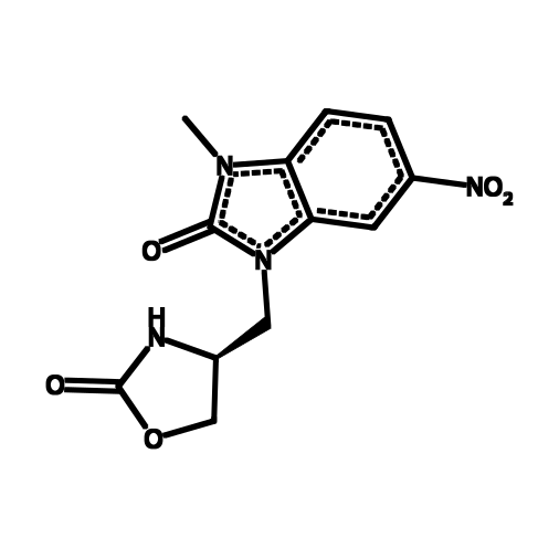 Cn1c(=O)n(C[C@H]2COC(=O)N2)c2cc([N+](=O)[O-])ccc21